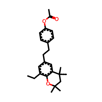 CCc1cc(CCc2ccc(OC(C)=O)cc2)cc2c1OC(C)(C)CC2(C)C